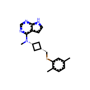 Cc1ccc(C)c(SC[C@H]2C[C@@H](N(C)c3ncnc4[nH]ccc34)C2)c1